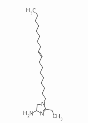 CCCCCCCCC=CCCCCCCCCN1CC(N)N=C1CC